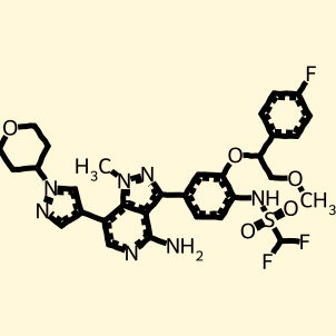 COCC(Oc1cc(-c2nn(C)c3c(-c4cnn(C5CCOCC5)c4)cnc(N)c23)ccc1NS(=O)(=O)C(F)F)c1ccc(F)cc1